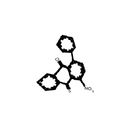 O=C1c2ccccc2C(=S)c2c([N+](=O)[O-])ccc(-c3ccccc3)c21